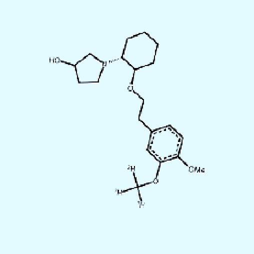 [2H]C([2H])([2H])Oc1cc(CCO[C@@H]2CCCC[C@H]2N2CCC(O)C2)ccc1OC